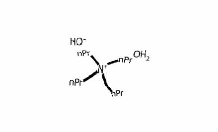 CCC[N+](CCC)(CCC)CCC.O.[OH-]